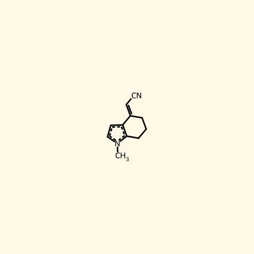 Cn1ccc2c1CCC/C2=C\C#N